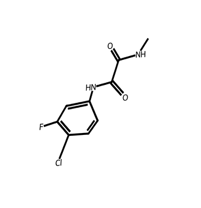 CNC(=O)C(=O)Nc1ccc(Cl)c(F)c1